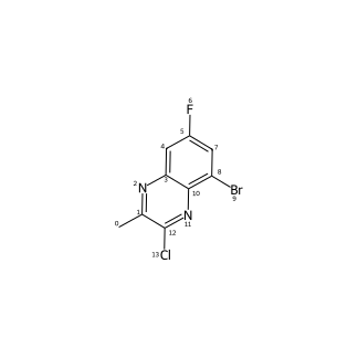 Cc1nc2cc(F)cc(Br)c2nc1Cl